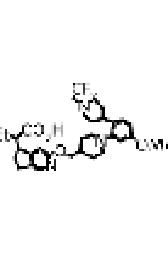 CCC(C(=O)O)C1CCc2cnc(OCC3CCN(c4cc(OC)ccc4C4CCN(CC(F)(F)F)CC4)CC3)cc21